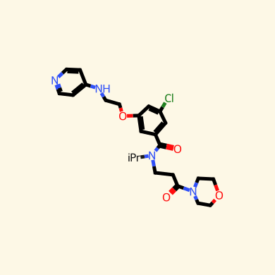 CC(C)N(CCC(=O)N1CCOCC1)C(=O)c1cc(Cl)cc(OCCNc2ccncc2)c1